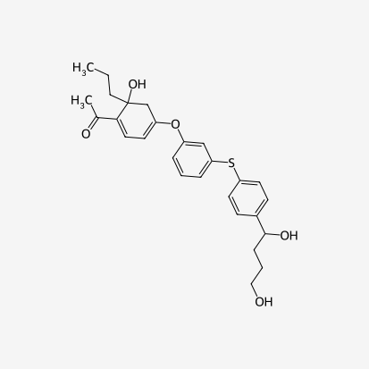 CCCC1(O)CC(Oc2cccc(Sc3ccc(C(O)CCCO)cc3)c2)=CC=C1C(C)=O